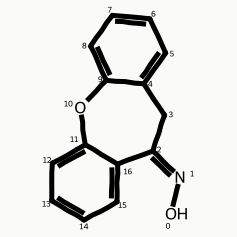 O/N=C1/Cc2ccccc2Oc2ccccc21